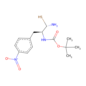 CC(C)(C)OC(=O)N[C@@H](Cc1ccc([N+](=O)[O-])cc1)[C@@H](N)S